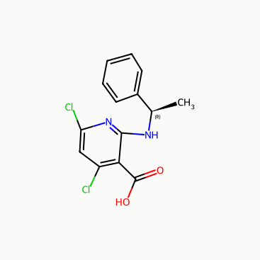 C[C@@H](Nc1nc(Cl)cc(Cl)c1C(=O)O)c1ccccc1